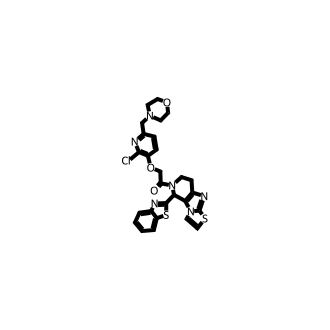 O=C(COc1ccc(CN2CCOCC2)nc1Cl)N1CCc2nc3sccn3c2C1c1nc2ccccc2s1